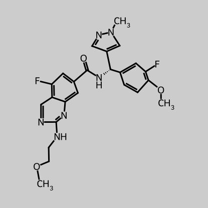 COCCNc1ncc2c(F)cc(C(=O)N[C@@H](c3ccc(OC)c(F)c3)c3cnn(C)c3)cc2n1